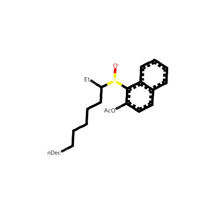 CCCCCCCCCCCCCCCC(CC)[S+]([O-])c1c(OC(C)=O)ccc2ccccc12